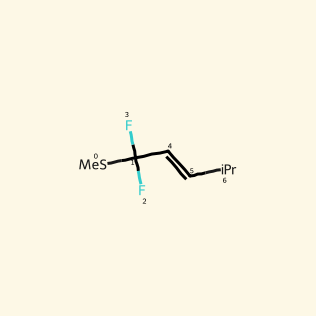 CSC(F)(F)/C=C/C(C)C